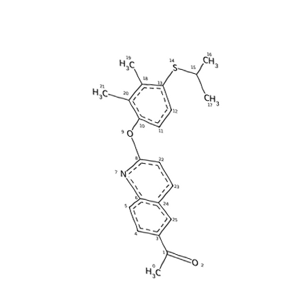 CC(=O)c1ccc2nc(Oc3ccc(SC(C)C)c(C)c3C)ccc2c1